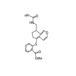 CCCC(=O)NCC1CCC(Sc2ccccc2C(=O)OC)=C2C=COC=C21